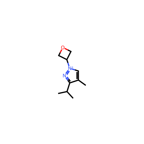 CC1=C[N+](C2COC2)=[N+]=C1C(C)C